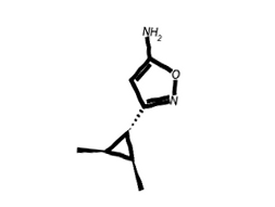 C[C@@H]1[C@H](C)[C@H]1c1cc(N)on1